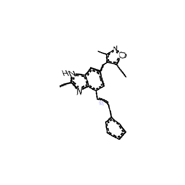 Cc1nc2c(/C=C/c3ccccc3)cc(-c3c(C)noc3C)cc2[nH]1